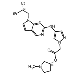 CC[C@H](Cn1ccc2cnc(Nc3cnn(CC(=O)O[C@@H]4CCN(C)C4)c3)nc21)C(C)C